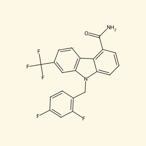 NC(=O)c1cccc2c1c1[c]cc(C(F)(F)F)cc1n2Cc1ccc(F)cc1F